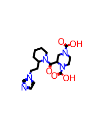 O=C(O)N1CCN(C(=O)O)C(C(=O)N2CCCCC2CCn2ccnc2)C1